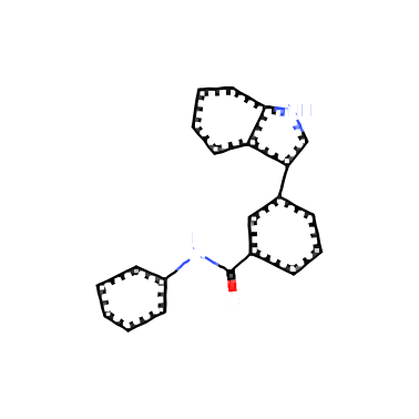 O=C(Nc1ccccc1)c1cccc(-c2c[nH]c3ccccc23)c1